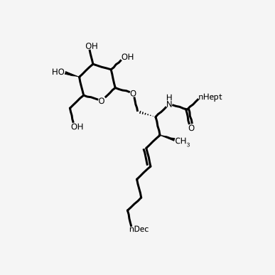 CCCCCCCCCCCCC/C=C/[C@H](C)[C@H](COC1OC(CO)[C@@H](O)C(O)C1O)NC(=O)CCCCCCC